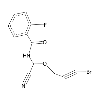 N#CC(NC(=O)c1ccccc1F)OCC#CBr